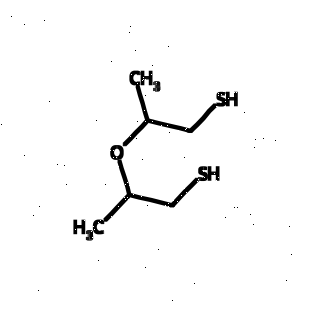 CC(CS)OC(C)CS